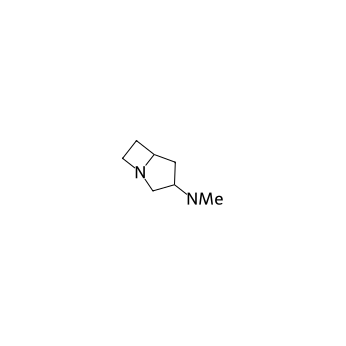 CNC1CC2CCN2C1